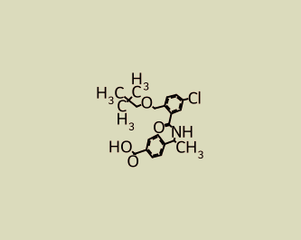 CC(NC(=O)c1cc(Cl)ccc1COCC(C)(C)C)c1ccc(C(=O)O)cc1